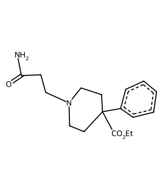 CCOC(=O)C1(c2ccccc2)CCN(CCC(N)=O)CC1